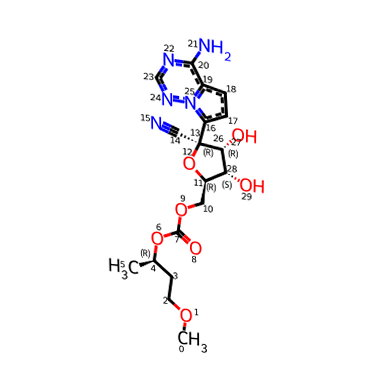 COCC[C@@H](C)OC(=O)OC[C@H]1O[C@@](C#N)(c2ccc3c(N)ncnn23)[C@H](O)[C@@H]1O